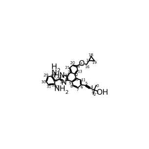 CC(C)(O)C#Cc1ccc2c(c1)c1cc(OCC3CC3)ccc1c1[nH]c(-c3c(N)cccc3N)nc21